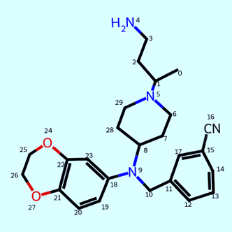 CC(CCN)N1CCC(N(Cc2cccc(C#N)c2)c2ccc3c(c2)OCCO3)CC1